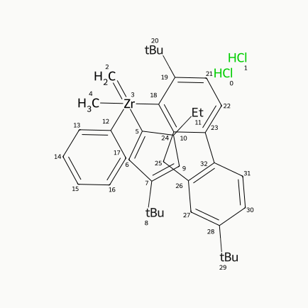 Cl.Cl.[CH2]=[Zr]([CH3])([C]1=CC(C(C)(C)C)=CC1CC)([c]1ccccc1)[c]1c(C(C)(C)C)ccc2c1Cc1cc(C(C)(C)C)ccc1-2